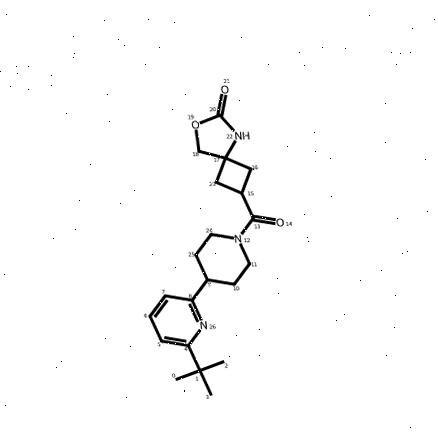 CC(C)(C)c1cccc(C2CCN(C(=O)C3CC4(COC(=O)N4)C3)CC2)n1